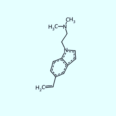 C=Cc1ccc2c(ccn2CCN(C)C)c1